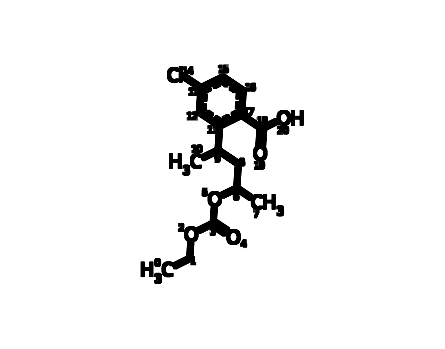 CCOC(=O)OC(C)CC(C)c1cc(Cl)ccc1C(=O)O